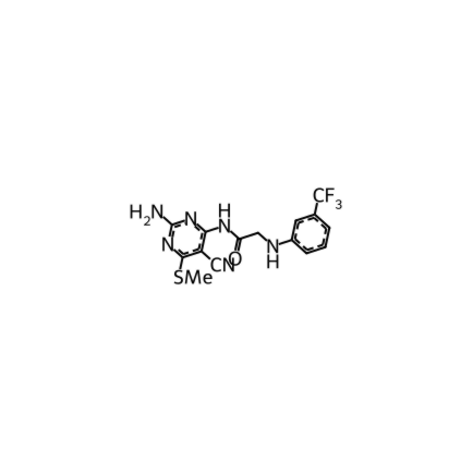 CSc1nc(N)nc(NC(=O)CNc2cccc(C(F)(F)F)c2)c1C#N